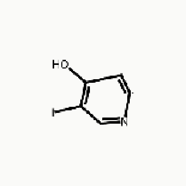 Oc1c[c]ncc1I